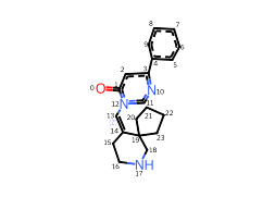 O=c1cc(-c2ccccc2)ncn1/C=C1/CCNCC12CCCC2